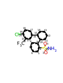 NS(=O)(=O)c1ccccc1-c1ccccc1-c1ccc(Cl)c(C(F)(F)F)c1